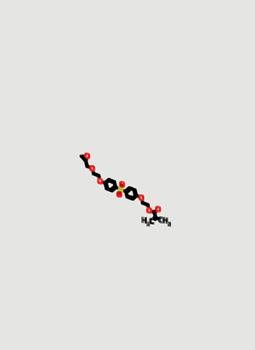 C=C(C)C(=O)OCCOc1ccc(S(=O)(=O)c2ccc(OCCOCC3CO3)cc2)cc1